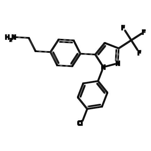 NCCc1ccc(-c2cc(C(F)(F)F)nn2-c2ccc(Cl)cc2)cc1